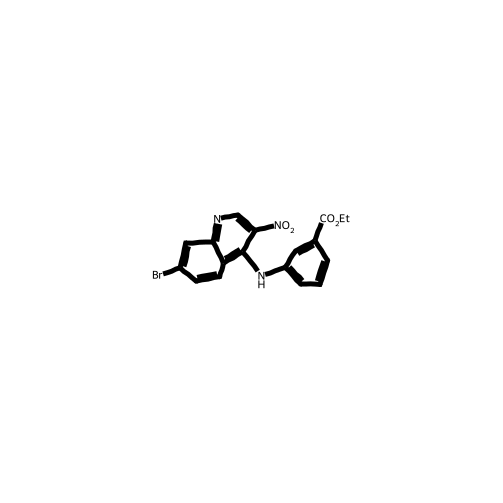 CCOC(=O)c1cccc(Nc2c([N+](=O)[O-])cnc3cc(Br)ccc23)c1